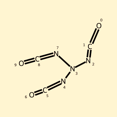 O=C=NN(N=C=O)N=C=O